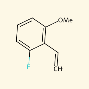 [CH]=Cc1c(F)cccc1OC